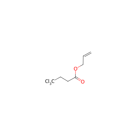 C=CCOC(=O)CCC(Cl)(Cl)Cl